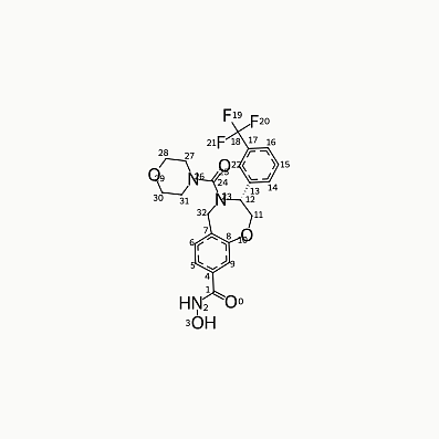 O=C(NO)c1ccc2c(c1)OC[C@@H](c1cccc(C(F)(F)F)c1)N(C(=O)N1CCOCC1)C2